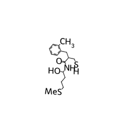 CSCCCC(O)NC(=O)C(CS)Cc1ccccc1C